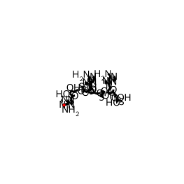 Nc1ncnc2c1ncn2C1OC(COP(O)(O)=S)CC1OP(O)(=S)OCC1CC(OP(O)(=S)OCC2OC(n3cnc4c(N)ncnc43)C(O)C2O)C(n2cnc3c(N)ncnc32)O1